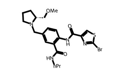 CCCNC(=O)c1cc(CN2CCC[C@@H]2COC)ccc1NC(=O)c1csc(Br)n1